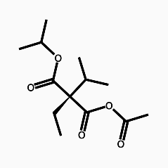 CC[C@@](C(=O)OC(C)=O)(C(=O)OC(C)C)C(C)C